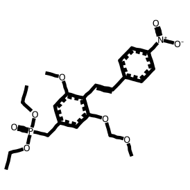 CCOP(=O)(Cc1cc(OC)c(/C=C/c2ccc([N+](=O)[O-])cc2)c(OCOC)c1)OCC